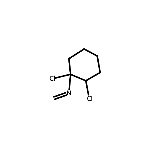 C=NC1(Cl)CCCCC1Cl